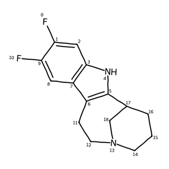 Fc1cc2[nH]c3c(c2cc1F)CCN1CCCC3C1